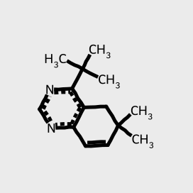 CC1(C)C=Cc2ncnc(C(C)(C)C)c2C1